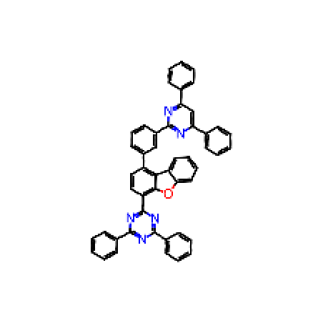 c1ccc(-c2cc(-c3ccccc3)nc(-c3cccc(-c4ccc(-c5nc(-c6ccccc6)nc(-c6ccccc6)n5)c5oc6ccccc6c45)c3)n2)cc1